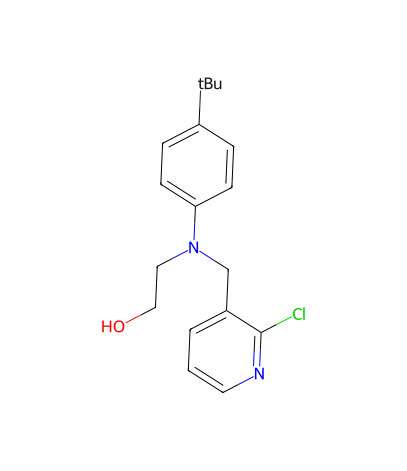 CC(C)(C)c1ccc(N(CCO)Cc2cccnc2Cl)cc1